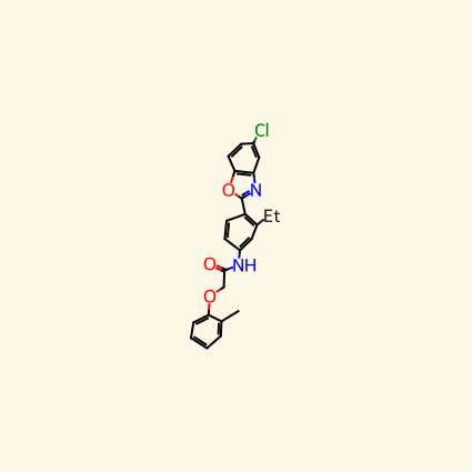 CCc1cc(NC(=O)COc2ccccc2C)ccc1-c1nc2cc(Cl)ccc2o1